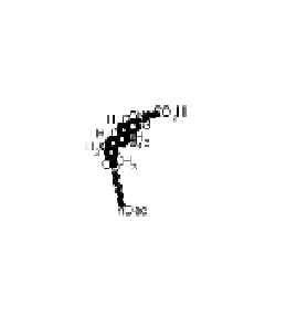 CCCCCCCCCCCCCCCCCCOC(=O)C1(C)CCC2(C)CCC3(C)C(=CC(=O)C4C5(C)CCC(OC(=O)CCC(=O)O)C(C)(C)C5CCC43C)C2C1